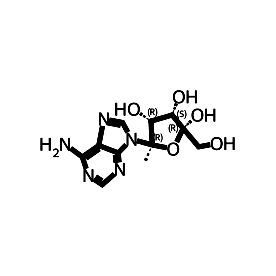 C[C@@]1(n2cnc3c(N)ncnc32)O[C@](O)(CO)[C@@H](O)[C@H]1O